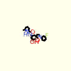 Cc1cccc(C(=O)N[C@@H]2C[C@@H](O)C[C@@]3(CCN(c4cccc(F)c4)C3=O)C2)n1